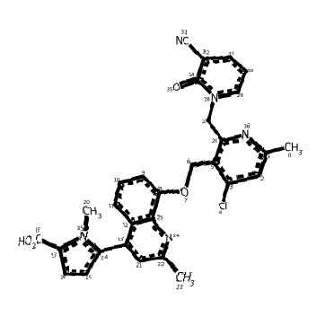 Cc1cc(Cl)c(COc2cccc3c(-c4ccc(C(=O)O)n4C)cc(C)nc23)c(Cn2cccc(C#N)c2=O)n1